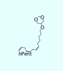 CCCCC/C=C\C/C=C\C/C=C\CCCCCOC1COCOC1